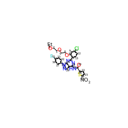 CCOCCOCCOc1cc(Cl)ccc1-c1nc(NC(=O)c2ccc([N+](=O)[O-])s2)c2cnn(-c3ccc(F)cc3)c2n1